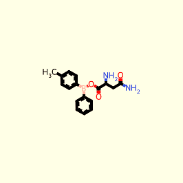 Cc1ccc(B(OC(=O)C(N)CC(N)=O)c2ccccc2)cc1